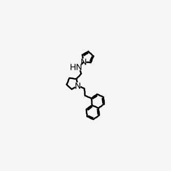 c1ccc2c(CCN3CCCC3CNn3cccc3)cccc2c1